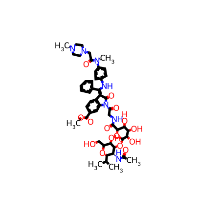 COC(=O)c1ccc2c(c1)N(C(=O)CNC(=O)C1OC(OC3C(O)C(CO)OC(C(C)C)[C@H]3NC(C)=O)C(O)C(O)C1O)C(=O)/C2=C(\Nc1ccc(N(C)C(=O)CN2CCN(C)CC2)cc1)c1ccccc1